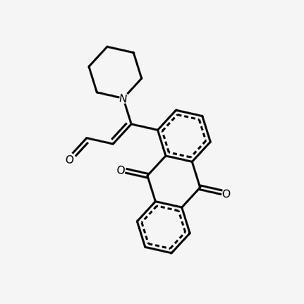 O=CC=C(c1cccc2c1C(=O)c1ccccc1C2=O)N1CCCCC1